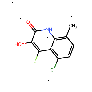 Cc1ccc(Cl)c2c(F)c(O)c(=O)[nH]c12